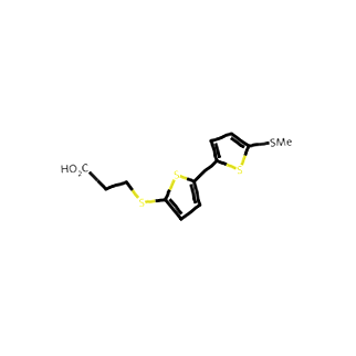 CSc1ccc(-c2ccc(SCCC(=O)O)s2)s1